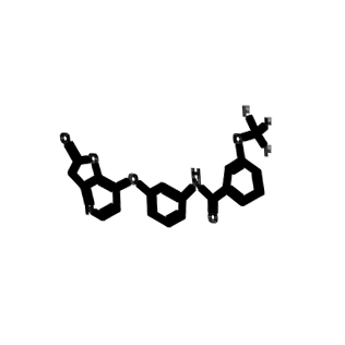 O=C1Cc2nccc(Oc3cccc(NC(=O)c4cccc(OC(F)(F)F)c4)c3)c2O1